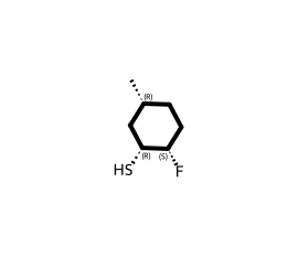 C[C@@H]1CC[C@H](F)[C@H](S)C1